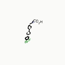 O=C(O)/C=C/C[C@H]1CC[C@H]([C@H]2CC[C@H](c3ccc(Br)c(F)c3)CC2)CC1